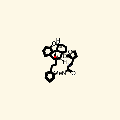 CNC(=O)/C=C/c1ccoc1.O[C@@]12CCC[C@@H]3Oc4cccc5c4[C@@]31CCN(CCc1ccccc1)[C@@H]2C5